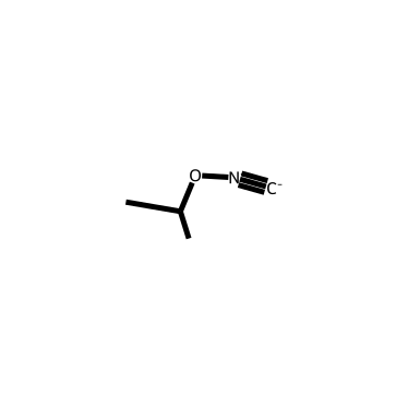 [C-]#[N+]OC(C)C